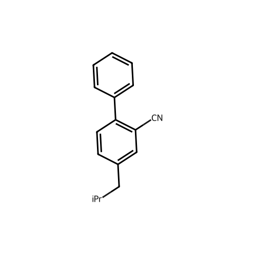 CC(C)Cc1ccc(-c2ccccc2)c(C#N)c1